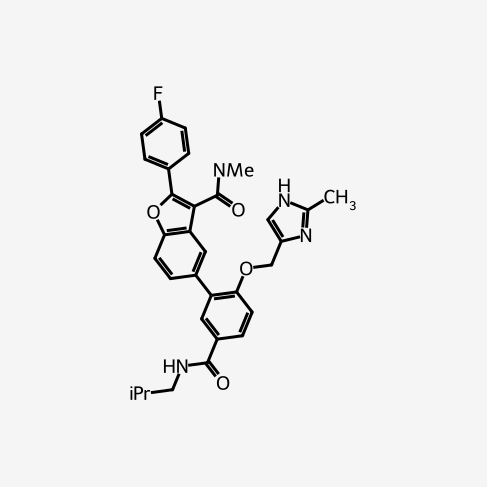 CNC(=O)c1c(-c2ccc(F)cc2)oc2ccc(-c3cc(C(=O)NCC(C)C)ccc3OCc3c[nH]c(C)n3)cc12